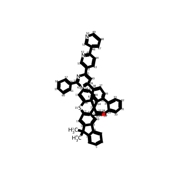 CC1(C)c2ccccc2-c2cc3c(cc21)Sc1ccccc1C31c2ccccc2-c2ccccc2-c2ccc(-c3cc(-c4ccc(-c5cccnc5)nc4)nc(-c4ccccc4)n3)cc21